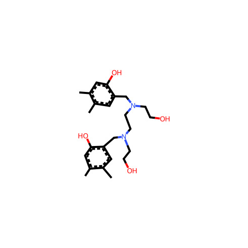 Cc1cc(O)c(CN(CCO)CCN(CCO)Cc2cc(C)c(C)cc2O)cc1C